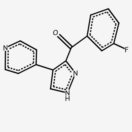 O=C(c1cccc(F)c1)c1n[nH]cc1-c1ccncc1